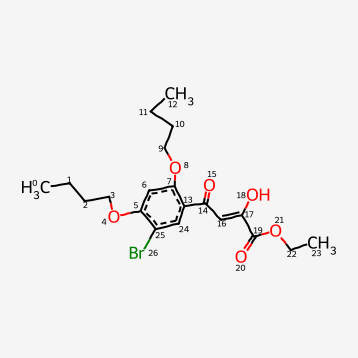 CCCCOc1cc(OCCCC)c(C(=O)/C=C(\O)C(=O)OCC)cc1Br